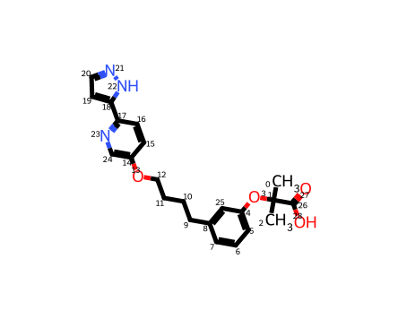 CC(C)(Oc1cccc(CCCCOc2ccc(-c3ccn[nH]3)nc2)c1)C(=O)O